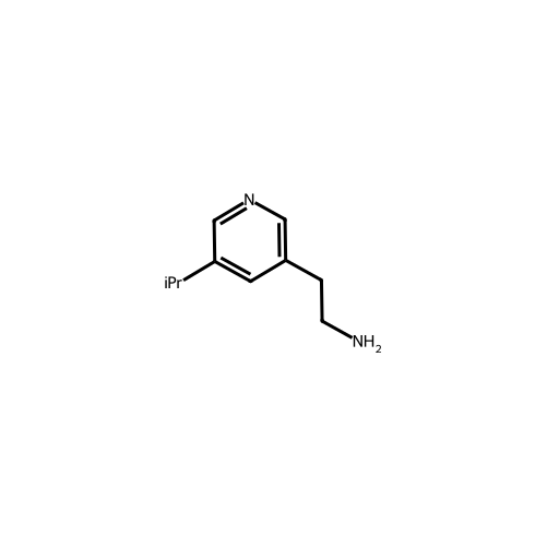 CC(C)c1cncc(CCN)c1